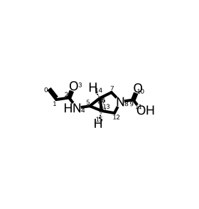 C=CC(=O)NC1[C@H]2CN(C(=O)O)C[C@@H]12